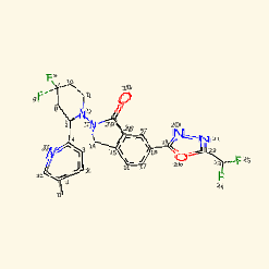 Cc1ccc(C2CC(F)(F)CCN2N2Cc3ccc(-c4nnc(C(F)F)o4)cc3C2=O)nc1